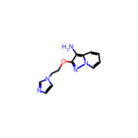 Nc1c(OCCn2ccnc2)nn2ccccc12